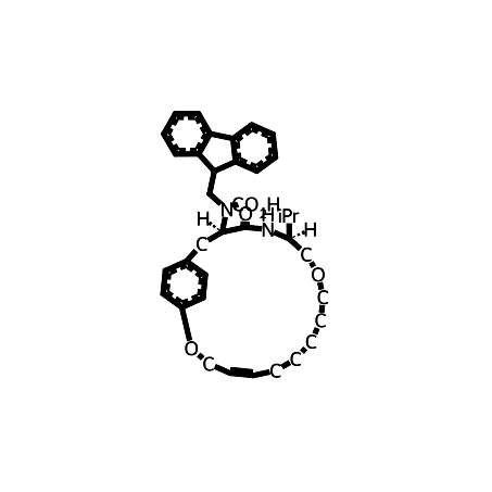 CC(C)[C@H]1COCCCCCC=CCOc2ccc(cc2)C[C@@H](N(CC2c3ccccc3-c3ccccc32)C(=O)O)C(=O)N1